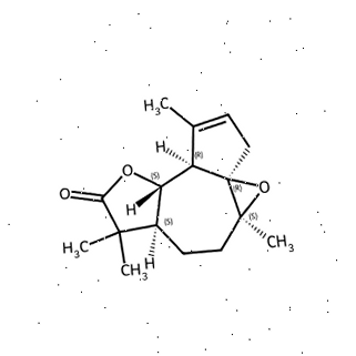 CC1=CC[C@]23O[C@@]2(C)CC[C@@H]2[C@H](OC(=O)C2(C)C)[C@@H]13